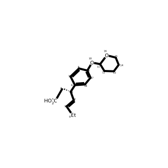 CC/C=C/[C@H](CC(=O)O)c1ccc(OC2CCCCO2)cc1